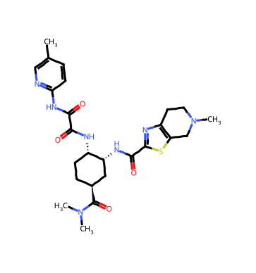 Cc1ccc(NC(=O)C(=O)N[C@H]2CC[C@H](C(=O)N(C)C)C[C@H]2NC(=O)c2nc3c(s2)CN(C)CC3)nc1